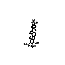 CN(C)[C@H]1C[C@@]23CC[C@@]4(O2)C(=CC[C@]2(C)C(c5ccc6[nH]c(N)nc6c5)=CCC24)C=C3[C@@H](O)[C@@H]1O